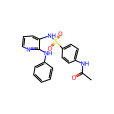 CC(=O)Nc1ccc(S(=O)(=O)Nc2cccnc2Nc2ccccc2)cc1